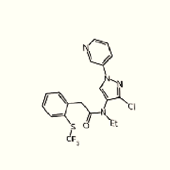 CCN(C(=O)Cc1ccccc1SC(F)(F)F)c1cn(-c2cccnc2)nc1Cl